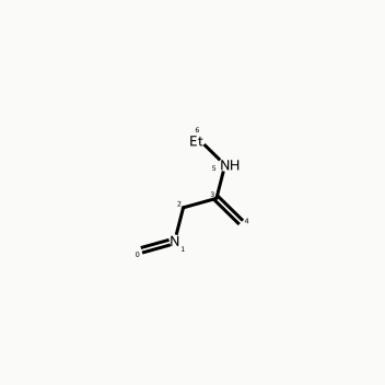 C=NCC(=C)NCC